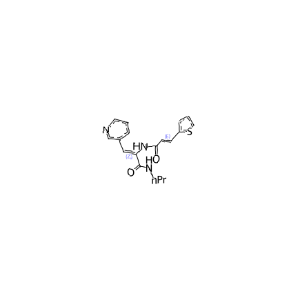 CCCNC(=O)/C(=C/c1cccnc1)NC(=O)/C=C/c1cccs1